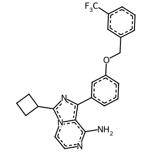 Nc1nccn2c(C3CCC3)nc(-c3cccc(OCc4cccc(C(F)(F)F)c4)c3)c12